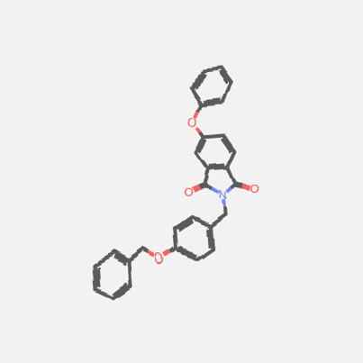 O=C1c2ccc(Oc3ccccc3)cc2C(=O)N1Cc1ccc(OCc2ccccc2)cc1